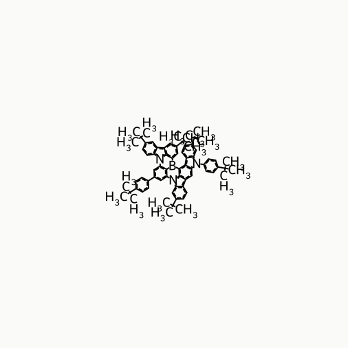 CC(C)(C)c1ccc(-c2cc3c4c(c2)-n2c5cc(C(C)(C)C)ccc5c5cc6c(c(c52)B4c2cc(C(C)(C)C)cc4c5cc(C(C)(C)C)ccc5n-3c24)c2ccc(C(C)(C)C)cc2n6-c2ccc(C(C)(C)C)cc2)cc1